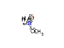 C=C1/C=C\C=C/Cc2ccc(-c3ccc4c(c3)c3cc(-c5ccccc5)ccc3n4-c3ccc4c(c3)C(C)(C)c3c-4ccc4sc5ccccc5c34)cc2-c2ccccc21